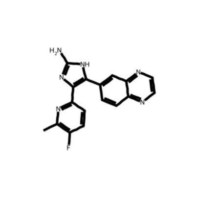 Cc1nc(-c2nc(N)[nH]c2-c2ccc3nccnc3c2)ccc1F